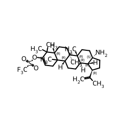 C=C(C)[C@@H]1CC[C@]2(N)CC[C@]3(C)[C@H](CC[C@@H]4C5(C)CC=C(OS(=O)(=O)C(F)(F)F)C(C)(C)[C@@H]5CC[C@]43C)[C@@H]12